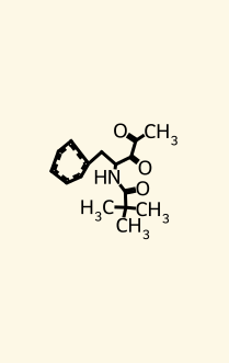 CC(=O)C(=O)C(Cc1ccccc1)NC(=O)C(C)(C)C